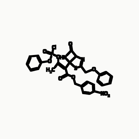 CC(OP(=O)(Cl)Oc1ccccc1)=C(C(=O)OCc1ccc([N+](=O)[O-])cc1)C12NC(=O)C1N=C(COc1ccccc1)S2